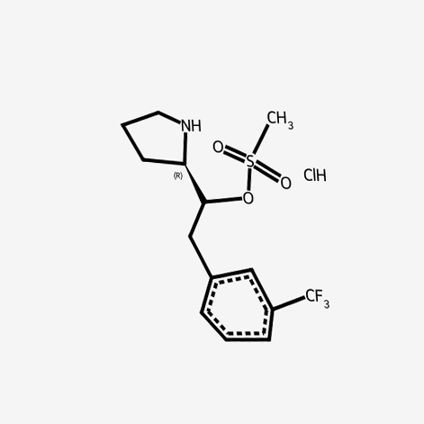 CS(=O)(=O)OC(Cc1cccc(C(F)(F)F)c1)[C@H]1CCCN1.Cl